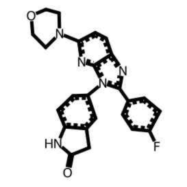 O=C1Cc2cc(-n3c(-c4ccc(F)cc4)nc4ccc(N5CCOCC5)nc43)ccc2N1